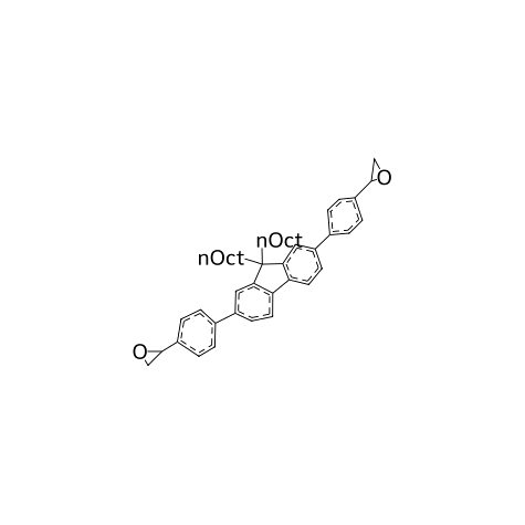 CCCCCCCCC1(CCCCCCCC)c2cc(-c3ccc(C4CO4)cc3)ccc2-c2ccc(-c3ccc(C4CO4)cc3)cc21